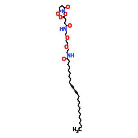 CCCCCCCCCCCCC#CC#CCCCCCCCCC(=O)NCCOCCOCCNC(=O)CCC(=O)ON1C(=O)CCC1=O